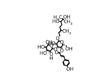 C/C(=C\CO[C@@H]1O[C@H](CO)[C@@H](OC(=O)/C=C/c2ccc(O)cc2)[C@H](O[C@@H]2O[C@@H](C)[C@H](O)[C@@H](O)[C@H]2O)[C@H]1O)CCC(O)C(C)(C)O